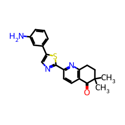 CC1(C)CCc2nc(-c3ncc(-c4cccc(N)c4)s3)ccc2C1=O